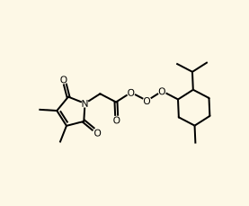 CC1=C(C)C(=O)N(CC(=O)OOOC2CC(C)CCC2C(C)C)C1=O